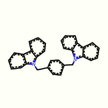 c1ccc2c(c1)c1ccccc1n2Cc1ccc(Cn2c3ccccc3c3ccccc32)cc1